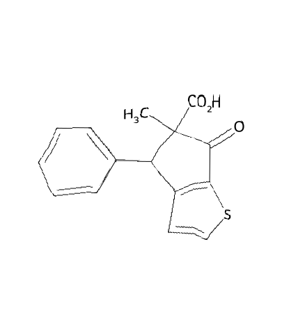 CC1(C(=O)O)C(=O)c2sccc2C1c1ccccc1